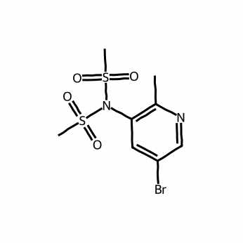 Cc1ncc(Br)cc1N(S(C)(=O)=O)S(C)(=O)=O